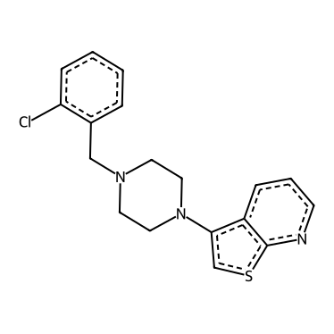 Clc1ccccc1CN1CCN(c2csc3ncccc23)CC1